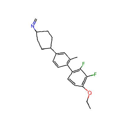 C=NC1CCC(c2ccc(-c3ccc(OCC)c(F)c3F)c(C)c2)CC1